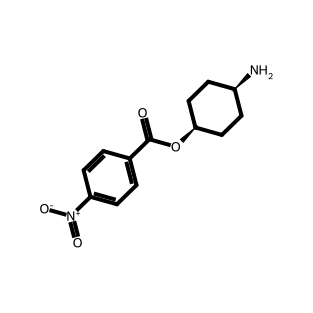 N[C@H]1CC[C@@H](OC(=O)c2ccc([N+](=O)[O-])cc2)CC1